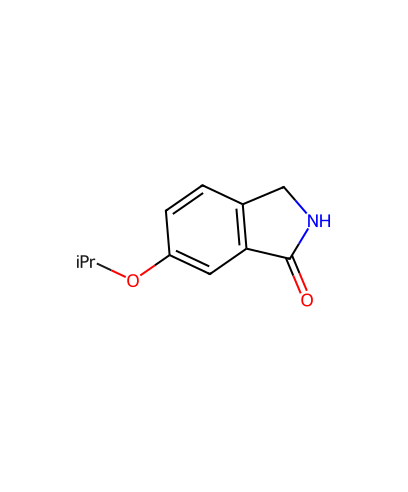 CC(C)Oc1ccc2c(c1)C(=O)NC2